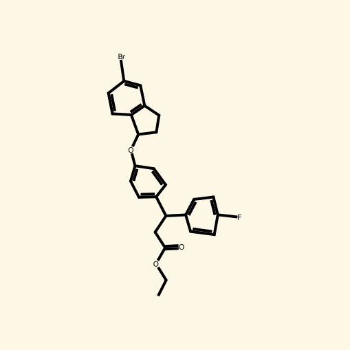 CCOC(=O)CC(c1ccc(F)cc1)c1ccc(OC2CCc3cc(Br)ccc32)cc1